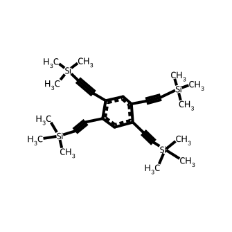 C[Si](C)(C)C#Cc1cc(C#C[Si](C)(C)C)c(C#C[Si](C)(C)C)cc1C#C[Si](C)(C)C